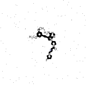 COc1cc(C#Cc2cn(C3CCN(C(=O)/C=C/CN4CCC(F)C4)C3)c3ncnc(N)c23)cc(OC)c1